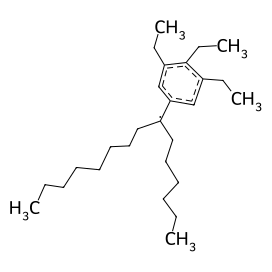 CCCCCCCC[C](CCCCCC)c1cc(CC)c(CC)c(CC)c1